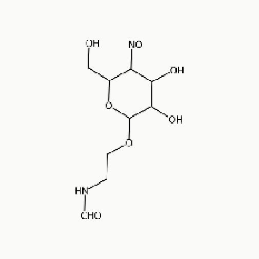 O=CNCCOC1OC(CO)C(N=O)C(O)C1O